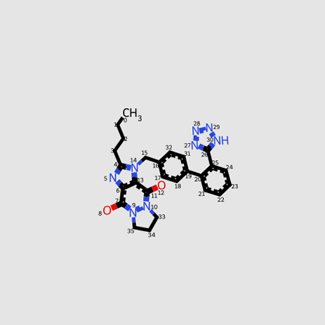 CCCCc1nc2c(=O)n3n(c(=O)c2n1Cc1ccc(-c2ccccc2-c2nnn[nH]2)cc1)CCC3